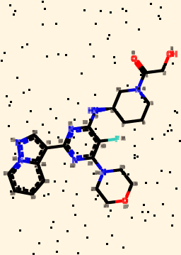 O=C(CO)N1CCC[C@@H](Nc2nc(-c3cnn4ccccc34)nc(N3CCOCC3)c2F)C1